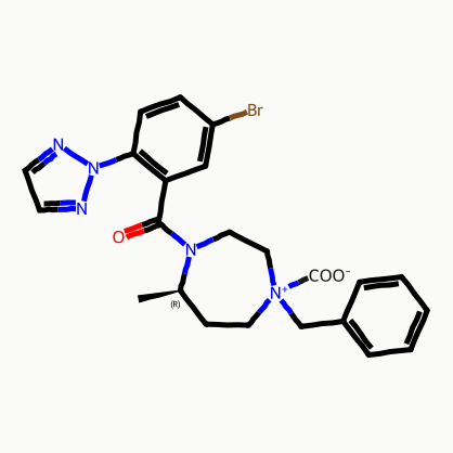 C[C@@H]1CC[N+](Cc2ccccc2)(C(=O)[O-])CCN1C(=O)c1cc(Br)ccc1-n1nccn1